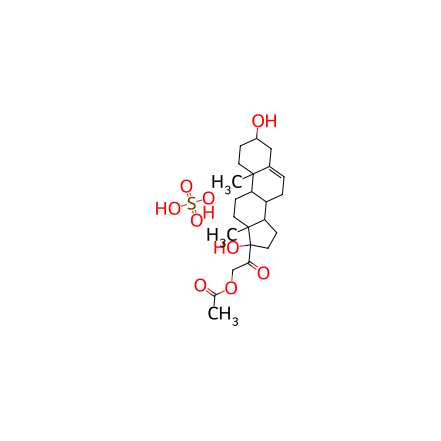 CC(=O)OCC(=O)C1(O)CCC2C3CC=C4CC(O)CCC4(C)C3CCC21C.O=S(=O)(O)O